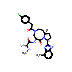 CN[C@@H](C)C(=O)N[C@H]1CN(C(=O)Cc2ccc(F)cc2)CC[C@H]2CC[C@@H](c3nc4c(C)cccc4[nH]3)N2C1=O